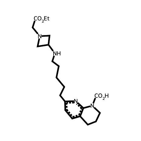 CCOC(=O)CN1CC(NCCCCCc2ccc3c(n2)N(C(=O)O)CCC3)C1